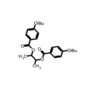 CC(C)COc1ccc(C(=O)OC(C)C(C)OC(=O)c2ccc(OCC(C)C)cc2)cc1